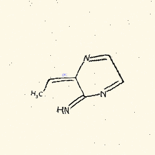 C/C=C1/N=CC=NC1=N